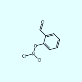 O=Cc1ccccc1ON(Cl)Cl